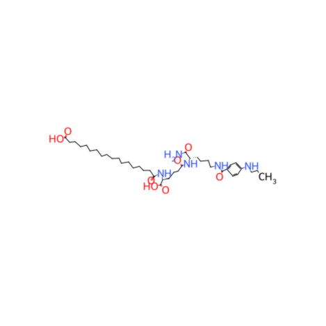 CCCNc1ccc(C(=O)NCCCC[C@H](NC(=O)CCC[C@H](NC(=O)CCCCCCCCCCCCCCCCC(=O)O)C(=O)O)C(N)=O)cc1